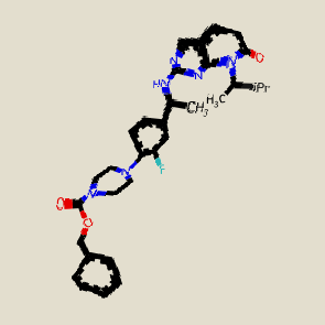 CC(Nc1ncc2ccc(=O)n(C(C)C(C)C)c2n1)c1ccc(N2CCN(C(=O)OCc3ccccc3)CC2)c(F)c1